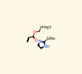 C=CC(=O)OCCCCCCCC.CSc1ncc[nH]1